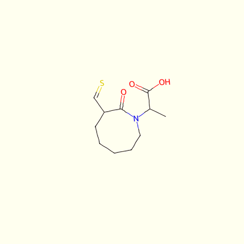 CC(C(=O)O)N1CCCCCC(C=S)C1=O